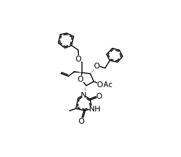 C=CC[C@]1(COCc2ccccc2)O[C@@H](n2cc(C)c(=O)[nH]c2=O)C(OC(C)=O)[C@H]1OCc1ccccc1